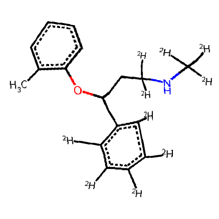 [2H]c1c([2H])c([2H])c(C(CC([2H])([2H])NC([2H])([2H])[2H])Oc2ccccc2C)c([2H])c1[2H]